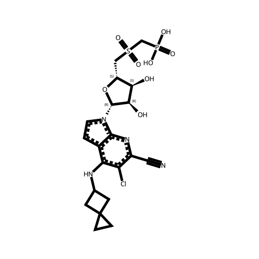 N#Cc1nc2c(ccn2[C@@H]2O[C@H](CS(=O)(=O)CP(=O)(O)O)[C@@H](O)[C@H]2O)c(NC2CC3(CC3)C2)c1Cl